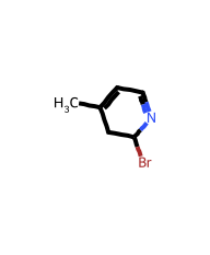 CC1=CC=NC(Br)C1